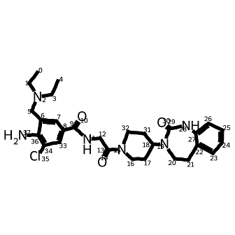 CCN(CC)Cc1cc(C(=O)NCC(=O)N2CCC(N3CCc4ccccc4NC3=O)CC2)cc(Cl)c1N